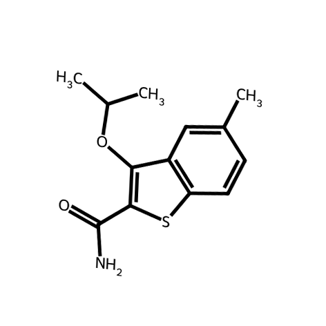 Cc1ccc2sc(C(N)=O)c(OC(C)C)c2c1